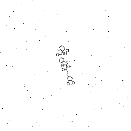 Cc1cccc(Cl)c1NC(=O)c1ccc2nc(NC(=O)CCc3ccc4c(c3)OCO4)sc2c1